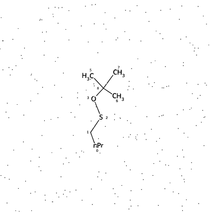 CCCCSOC(C)(C)C